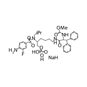 COC(=O)NC(C(=O)NCCCCC(COP(=O)(O)O)N(CC(C)C)S(=O)(=O)c1ccc(N)c(F)c1)C(c1ccccc1)c1ccccc1.[NaH]